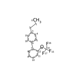 CCCc1[c]cc(-c2ccccc2OC(F)(F)F)cc1